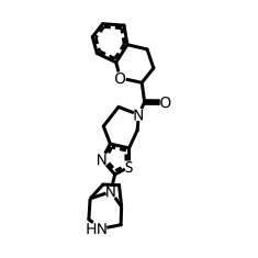 O=C(C1CCc2ccccc2O1)N1CCc2nc(N3C4CCC3CNC4)sc2C1